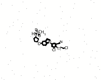 CS(=O)(=O)N[C@@H]1CC[C@H](Oc2ccc3c(ccn3-c3cc(Cl)c(OCCCl)c(C#N)c3)c2)C1